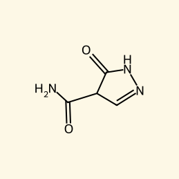 NC(=O)C1C=NNC1=O